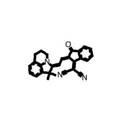 CC1(C)/C(=C/C=C2/C(=O)c3ccccc3C2=C(C#N)C#N)N2CCCc3cccc1c32